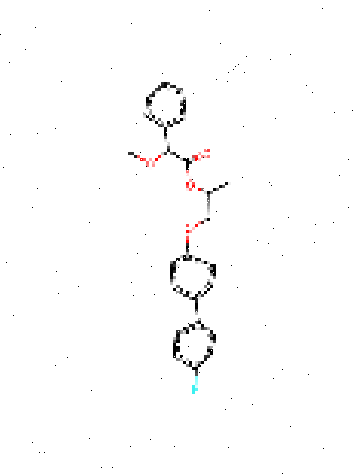 COC(C(=O)OC(C)COc1ccc(-c2ccc(F)cc2)cc1)c1ccccc1